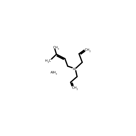 C=C[CH2][Al]([CH2]C=C)[CH2]C=C(C)C.[AlH3]